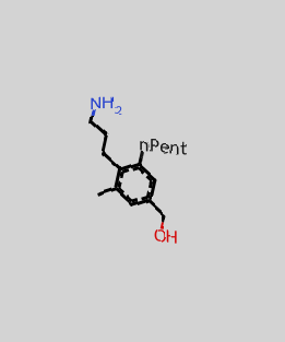 CCCCCc1cc(CO)cc(C)c1CCCN